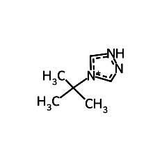 CC(C)(C)[n+]1cn[nH]c1